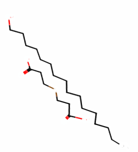 CCCCCCCCCCCCCCCCO.O=C(O)CCSCCC(=O)O